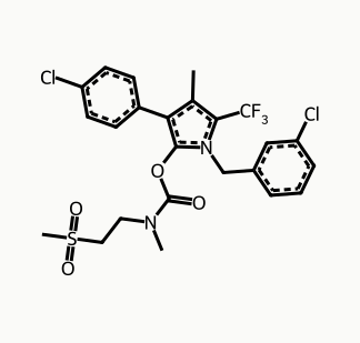 Cc1c(-c2ccc(Cl)cc2)c(OC(=O)N(C)CCS(C)(=O)=O)n(Cc2cccc(Cl)c2)c1C(F)(F)F